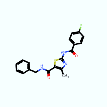 Cc1nc(NC(=O)c2ccc(F)cc2)sc1C(=O)NCc1ccccc1